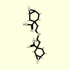 O=C(O)C1(CCOCCC2(C(=O)O)CCC3OC3C2)CCC2OC2C1